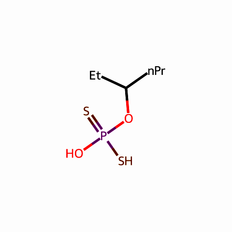 CCCC(CC)OP(O)(=S)S